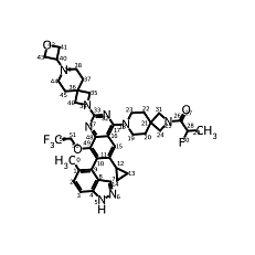 Cc1ccc2[nH]ncc2c1-c1c(C2CC2)cc2c(N3CCC4(CC3)CN(C(=O)C(C)F)C4)nc(N3CC4(CCN(C5COC5)CC4)C3)nc2c1OCC(F)(F)F